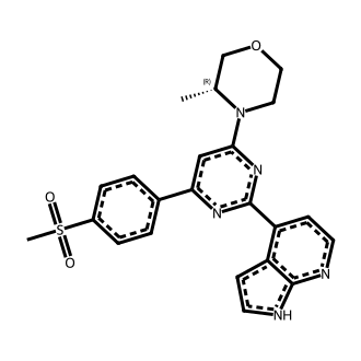 C[C@@H]1COCCN1c1cc(-c2ccc(S(C)(=O)=O)cc2)nc(-c2ccnc3[nH]ccc23)n1